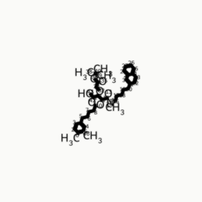 Cc1ccc(CCCCCO[C@@H](C(=O)N(C)CCCCCc2ccc3ccccc3c2)[C@@H](OCC(=O)OC(C)(C)C)C(=O)O)cc1C